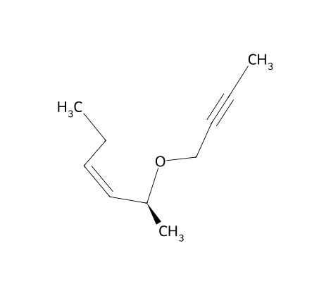 CC#CCO[C@@H](C)/C=C\CC